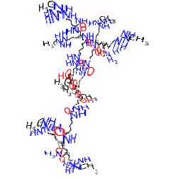 CNC(=N)NCCC[C@H](CC(=O)[C@H](CCCNC(=N)NC)NC(=O)CCCCNC(=O)NCCC[Si](C)(O)OO[Si](C)(CCCNC(=O)NCCCCC(=O)N[C@@H](CCCNC(=N)NC)C(=O)C[C@@H](CCCNC(=N)NC)C(N)=O)OO[Si](C)(O)CCCNC(=O)NCCCCC(=O)N[C@@H](CCCNC(=N)NC)C(=O)N[C@@H](CCCNC(=N)NC)C(N)=O)C(N)=O